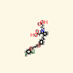 O=C(O)CCCn1cc(CC(=O)O)c2c(/C=C/c3ccc(OCCCCOc4ccc(F)cc4Cl)cc3)cccc21